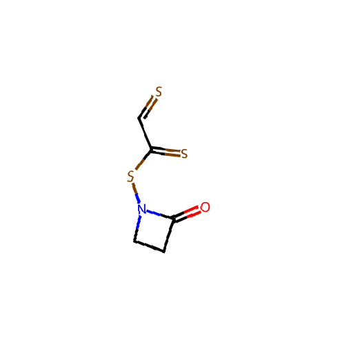 O=C1CCN1SC(=S)C=S